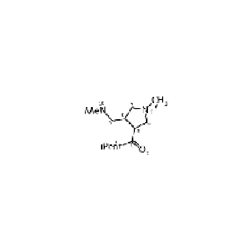 CCCC(C)C(=O)C1CN(C)CC1CNC